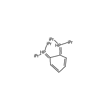 CC(C)[PH](=C1C=CC=CC1=[PH](C(C)C)C(C)C)C(C)C